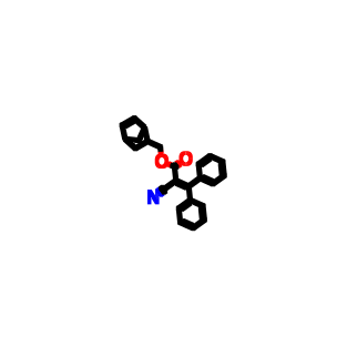 N#CC(C(=O)OCC1CC2C=CC1C2)=C(c1ccccc1)c1ccccc1